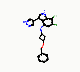 Clc1cc(NC2CC(OCc3ccccc3)C2)c2c(-c3cn[nH]c3)c[nH]c2c1Cl